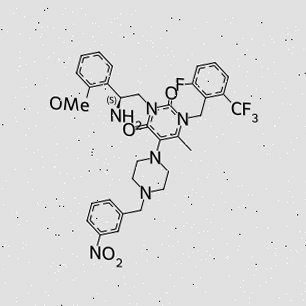 COc1ccccc1[C@H](N)Cn1c(=O)c(N2CCN(Cc3cccc([N+](=O)[O-])c3)CC2)c(C)n(Cc2c(F)cccc2C(F)(F)F)c1=O